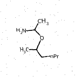 CCCCC(C)OC(C)N